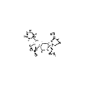 NC[C@]1(c2cccc(Cl)c2)CC[C@H](N2C(=O)OC[C@@H]2Cc2ccccc2)CC1